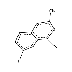 Cc1cc(C#N)cc2ccc(F)cc12